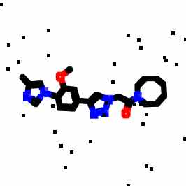 COC1C=C(c2cn(CC(=O)N3CCCCCCC3)nn2)C=CC1n1cnc(C)c1